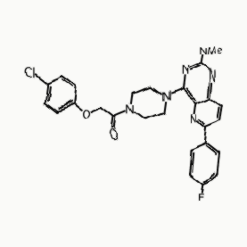 CNc1nc(N2CCN(C(=O)COc3ccc(Cl)cc3)CC2)c2nc(-c3ccc(F)cc3)ccc2n1